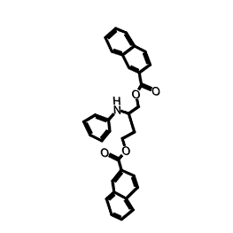 O=C(OCCC(COC(=O)c1ccc2ccccc2c1)Nc1ccccc1)c1ccc2ccccc2c1